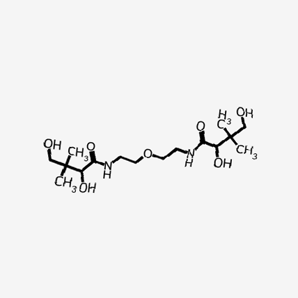 CC(C)(CO)C(O)C(=O)NCCOCCNC(=O)C(O)C(C)(C)CO